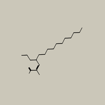 CCCCCCCCCCCC(C=C(C)C(=O)O)CCC